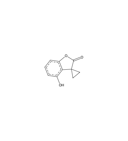 O=C1Oc2cccc(O)c2C12CC2